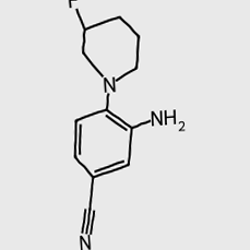 N#Cc1ccc(N2CCCC(F)C2)c(N)c1